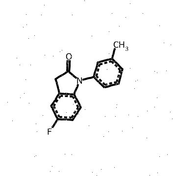 Cc1cccc(N2C(=O)Cc3cc(F)ccc32)c1